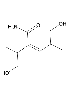 CC(/C=C(\C(N)=O)C(C)CO)CO